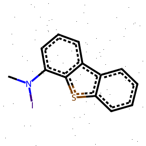 CN(I)c1cccc2c1sc1ccccc12